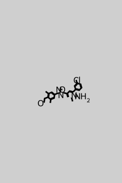 C=C(/C=C(/c1cccc(Cl)c1)N(N)CC)c1nc(-c2cc(C)c(CC=O)c(C)c2)no1